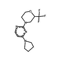 FC(F)(F)C1CN(c2nccc(N3CCCC3)n2)CCO1